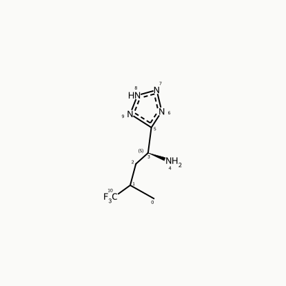 CC(C[C@H](N)c1nn[nH]n1)C(F)(F)F